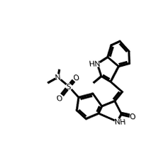 Cc1[nH]c2ccccc2c1C=C1C(=O)Nc2ccc(S(=O)(=O)N(C)C)cc21